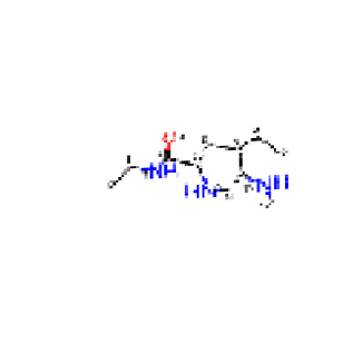 CCNC(=O)[C@H](CC(CC)CNC)NC